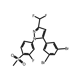 CS(=O)(=O)c1ccc(-n2nc(C(F)F)cc2-c2cc(Br)cc(Br)c2)cc1F